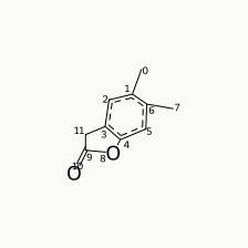 Cc1cc2c(cc1C)OC(=O)C2